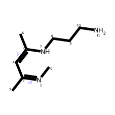 C/N=C(C)\C=C(\C)NCCCN